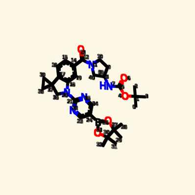 CC(C)(C)OC(=O)N[C@@H]1CCN(C(=O)c2ccc3c(c2)N(c2ncc(B4OC(C)(C)C(C)(C)O4)cn2)CC32CC2)C1